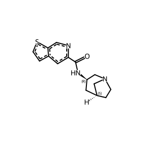 O=C(N[C@@H]1C[C@@H]2CCN(C2)C1)c1cc2ccsc2cn1